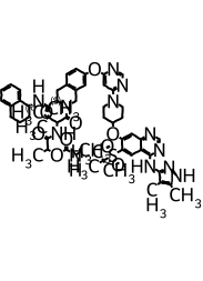 CNC(=O)OC(C)C(=O)NC(C(=O)N1Cc2cc(Oc3cc(N4CCC(Oc5cc6ncnc(Nc7n[nH]c(C)c7C)c6cc5S(=O)(=O)C(C)(C)C)CC4)ncn3)ccc2C[C@H]1C(=O)N[C@@H]1CCCc2ccccc21)C(C)(C)C